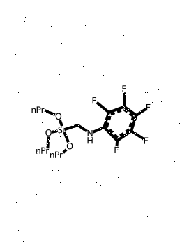 CCCO[Si](CNc1c(F)c(F)c(F)c(F)c1F)(OCCC)OCCC